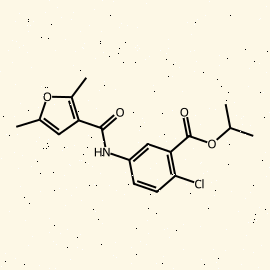 Cc1cc(C(=O)Nc2ccc(Cl)c(C(=O)OC(C)C)c2)c(C)o1